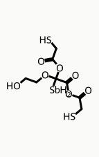 O=C(CS)OC(=O)[C]([SbH2])(OCCO)OC(=O)CS